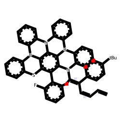 C=C/C=C\C(=C(/C)N1c2ccccc2B2c3ccccc3N3c4ccccc4B4c5ccccc5Sc5c4c3c2c1c5-c1c(F)cccc1F)c1ccc(C(C)(C)C)cc1